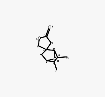 CC1C2CC3(COC(=O)C3)C(O2)C1C